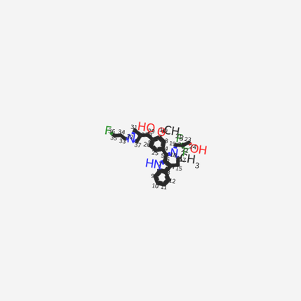 COc1cc(C2c3[nH]c4ccccc4c3C[C@@H](C)N2CC(F)(F)CO)ccc1[C@H](O)C1CN(CCCF)C1